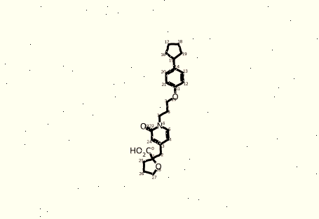 O=C(O)C1(Cc2ccn(CCCOc3ccc(C4CCCC4)cc3)c(=O)c2)CCCO1